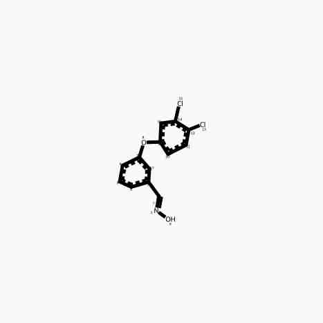 O/N=C/c1cccc(Oc2ccc(Cl)c(Cl)c2)c1